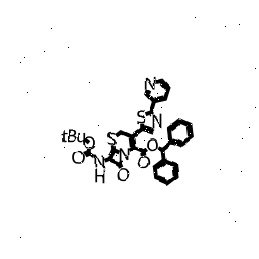 CC(C)(C)OC(=O)NC1C(=O)N2C(C(=O)OC(c3ccccc3)c3ccccc3)=C(c3cnc(-c4cccnc4)s3)CSC12